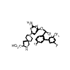 Nc1nc(OC(c2ccc(Cl)cc2-c2cc(F)cc(C(F)(F)F)c2)C(F)(F)F)cc(N2CCC3(CC2)CNC(C(=O)O)C3)n1